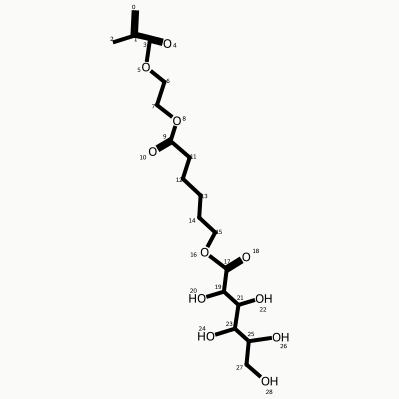 C=C(C)C(=O)OCCOC(=O)CCCCCOC(=O)C(O)C(O)C(O)C(O)CO